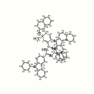 CC12C=C(C3NC(c4ccc5c(c4)c4ccccc4n5-c4ccccc4)=NC(c4ccccc4)N3)C(n3c4cc5ccccc5cc4c4c5ccccc5ccc43)=CC1c1c(ccc3ccccc13)O2